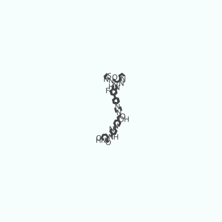 O=C1CCC(Nc2ccc(N3CCC(O)(CC(=O)N4CCN(c5ccc(-c6cc(F)c7cn(C(C(=O)Nc8nccs8)c8ncn9c8CCC9)nc7c6)cc5)CC4)CC3)nc2)C(=O)N1